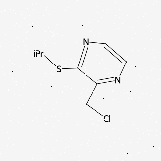 CC(C)Sc1nccnc1CCl